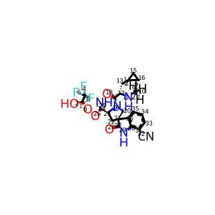 O=C(O)C(F)(F)F.[2H]C([2H])([2H])N[C@@H](CC1CC1)C(=O)N1C[C@]2(C[C@H]1C(N)=O)C(=O)Nc1c(C#N)cccc12